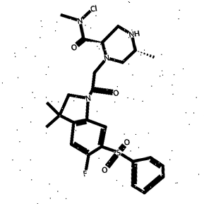 C[C@@H]1CN(CC(=O)N2CC(C)(C)c3cc(F)c(S(=O)(=O)c4ccccc4)cc32)[C@@H](C(=O)N(C)Cl)CN1